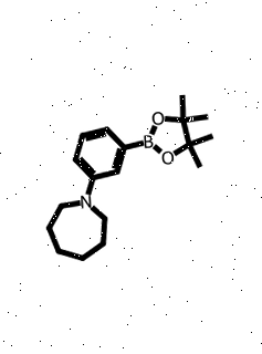 CC1(C)OB(c2cccc(N3CCCCCC3)c2)OC1(C)C